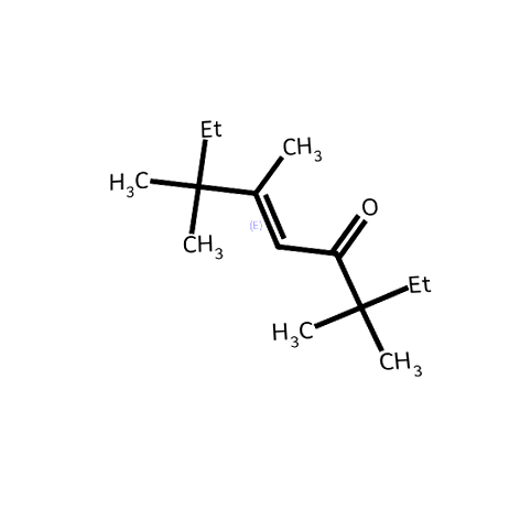 CCC(C)(C)C(=O)/C=C(\C)C(C)(C)CC